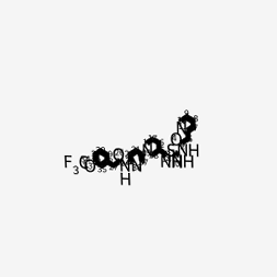 N=C(NC(=O)Cc1ccccn1)SC(=N)C1CCCN(c2ccc(NC(=O)Cc3cccc(OC(F)(F)F)c3)nc2)C1